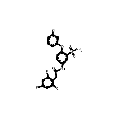 NS(=O)(=O)c1cc(NC(=O)Cc2c(F)cc(F)cc2Cl)ccc1Oc1cccc(Cl)c1